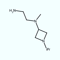 CC(C)N1CC(N(C)CCN)C1